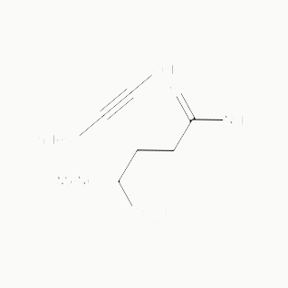 CCCCCCCC#CO.CN[C@H](CCC(N)=O)C(=O)O